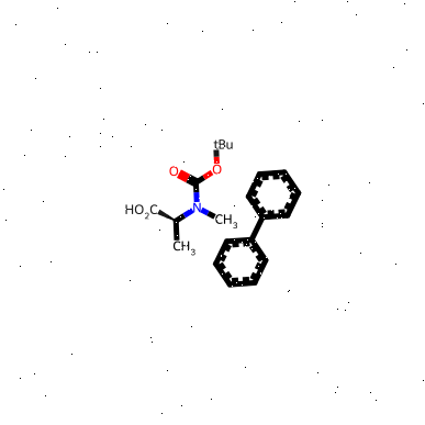 C[C@@H](C(=O)O)N(C)C(=O)OC(C)(C)C.c1ccc(-c2ccccc2)cc1